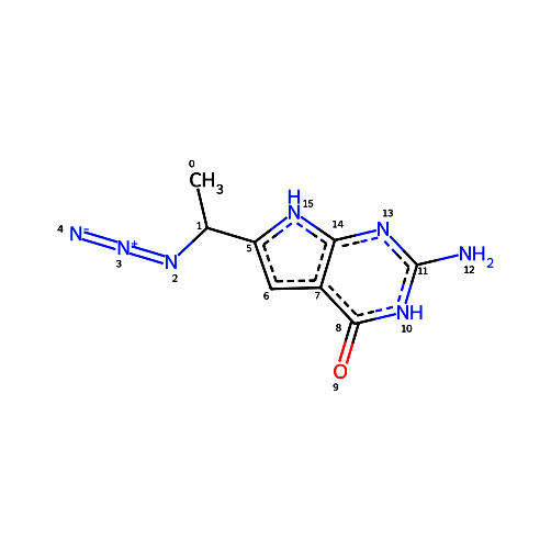 CC(N=[N+]=[N-])c1cc2c(=O)[nH]c(N)nc2[nH]1